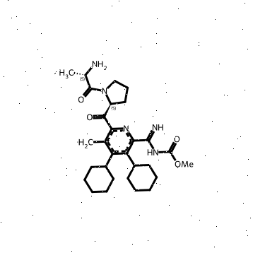 [CH2]c1c(C(=O)[C@@H]2CCCN2C(=O)[C@H](C)N)nc(C(=N)NC(=O)OC)c(C2CCCCC2)c1C1CCCCC1